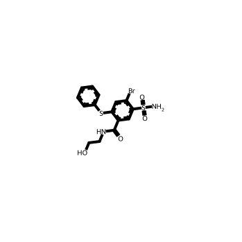 NS(=O)(=O)c1cc(C(=O)NCCO)c(Sc2ccccc2)cc1Br